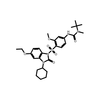 CCOc1ccc2c(c1)n(C1CCCCC1)c(=O)n2S(=O)(=O)c1ccc(NC(=O)N(C)C(C)(C)C)cc1OC